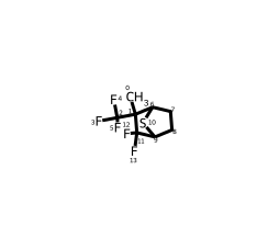 CC1(C(F)(F)F)C2CCC(S2)C1(F)F